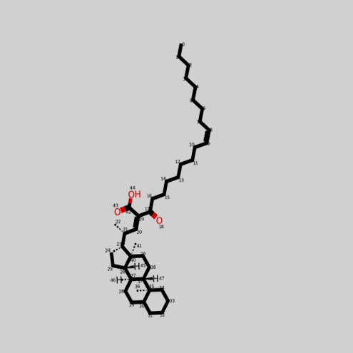 CCCCCCCC/C=C\CCCCCCCC(=O)C(=C[C@@H](C)[C@H]1CC[C@H]2[C@@H]3CCC4CCCC[C@]4(C)[C@H]3CC[C@]12C)C(=O)O